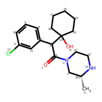 C[C@@H]1CN(C(=O)C(c2cccc(Cl)c2)C2(O)CCCCC2)CCN1